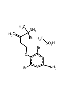 C=C(CCOc1c(Br)cc(N)cc1Br)C(C)(N)CC.CS(=O)(=O)O